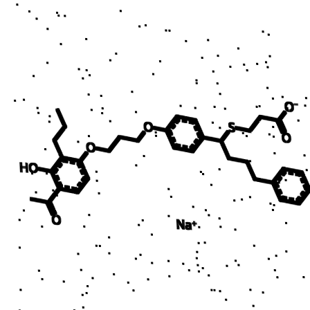 CCCc1c(OCCCOc2ccc(C(CCCc3ccccc3)SCCC(=O)[O-])cc2)ccc(C(C)=O)c1O.[Na+]